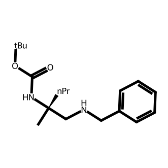 CCC[C@](C)(CNCc1ccccc1)NC(=O)OC(C)(C)C